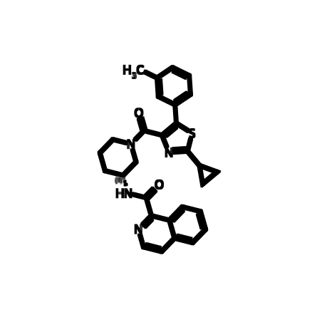 Cc1cccc(-c2sc(C3CC3)nc2C(=O)N2CCC[C@@H](NC(=O)c3nccc4ccccc34)C2)c1